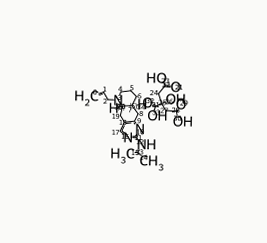 C=CCN1CCC[C@H]2Cc3nc(NC(C)C)ncc3C[C@@H]21.O=C(O)CC(O)(CC(=O)O)C(=O)O